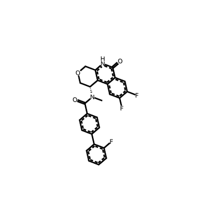 CN(C(=O)c1ccc(-c2ccccc2F)cc1)[C@@H]1COCc2[nH]c(=O)c3cc(F)c(F)cc3c21